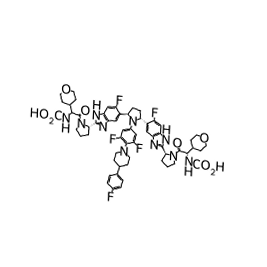 O=C(O)N[C@H](C(=O)N1CCC[C@H]1c1nc2cc([C@H]3CC[C@H](c4cc5nc([C@@H]6CCCN6C(=O)[C@@H](NC(=O)O)C6CCOCC6)[nH]c5cc4F)N3c3cc(F)c(N4CCC(c5ccc(F)cc5)CC4)c(F)c3)c(F)cc2[nH]1)C1CCOCC1